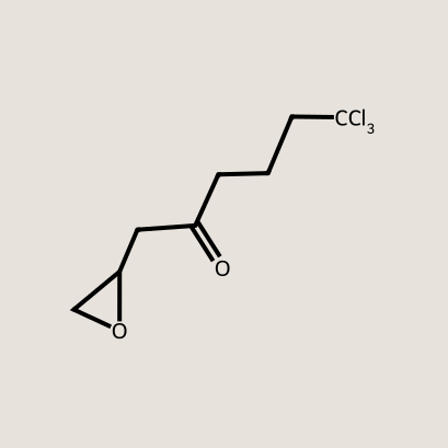 O=C(CCCC(Cl)(Cl)Cl)CC1CO1